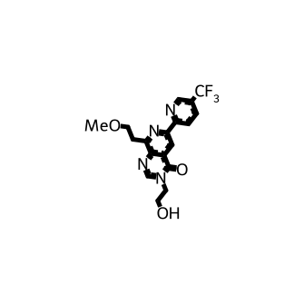 COCCc1nc(-c2ccc(C(F)(F)F)cn2)cc2c(=O)n(CCO)cnc12